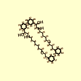 OC(CNCCCCCCCOCCc1ccccc1)c1ccccc1.OC(CNCCCCCOCCCc1ccccc1)c1ccccc1